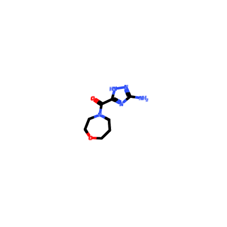 Nc1n[nH]c(C(=O)N2CCCOCC2)n1